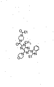 CCC(=O)N1CCN(C(=O)c2nc3c(N4CCOCC4)nc(-n4c(CC)nc5ccccc54)nc3n2C)CC1